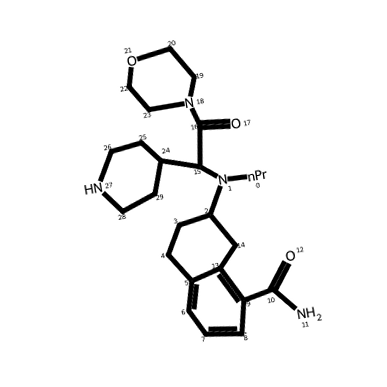 CCCN(C1CCc2cc[c]c(C(N)=O)c2C1)C(C(=O)N1CCOCC1)C1CCNCC1